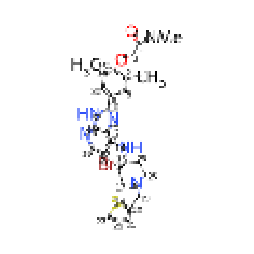 CNC(=O)COc1c(C)cc(-c2nc3c(NC4CCN(Cc5cccs5)CC4)c(Br)cnc3[nH]2)cc1C